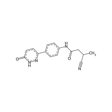 CC(C#N)CC(=O)Nc1ccc(-c2ccc(=O)[nH]n2)cc1